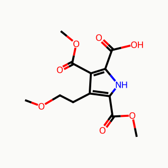 COCCc1c(C(=O)OC)[nH]c(C(=O)O)c1C(=O)OC